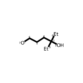 CCC(O)(CC)CCC[O]